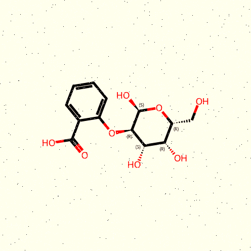 O=C(O)c1ccccc1O[C@@H]1[C@@H](O)[C@@H](O)[C@@H](CO)O[C@@H]1O